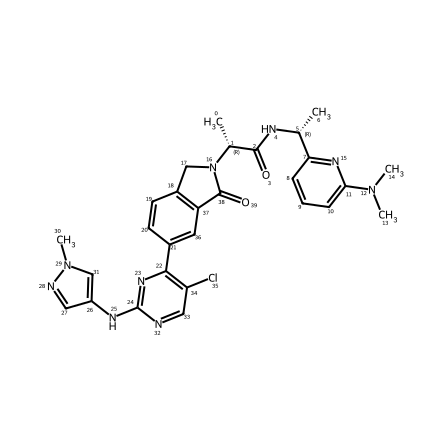 C[C@H](C(=O)N[C@H](C)c1cccc(N(C)C)n1)N1Cc2ccc(-c3nc(Nc4cnn(C)c4)ncc3Cl)cc2C1=O